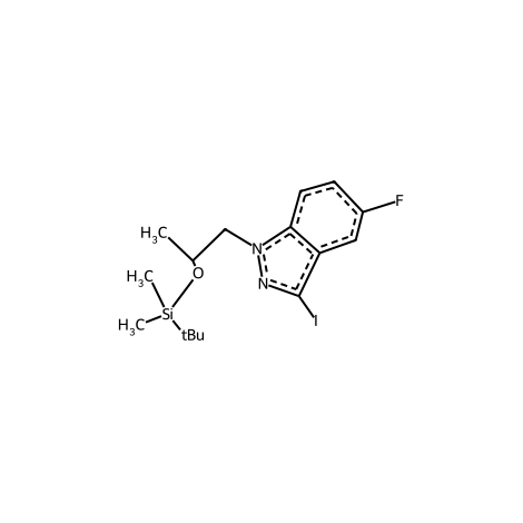 CC(Cn1nc(I)c2cc(F)ccc21)O[Si](C)(C)C(C)(C)C